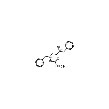 Cl.N[C@H](CC[C@H](Cc1ccccc1)NC(=O)O)Cc1ccccc1